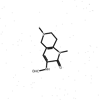 CN1CCc2c(cc(NC=O)c(=O)n2C)C1